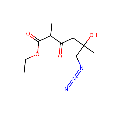 CCOC(=O)C(C)C(=O)CC(C)(O)CN=[N+]=[N-]